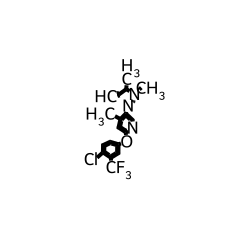 C#CC(C)N(C)C=Nc1cnc(Oc2ccc(Cl)c(C(F)(F)F)c2)cc1C